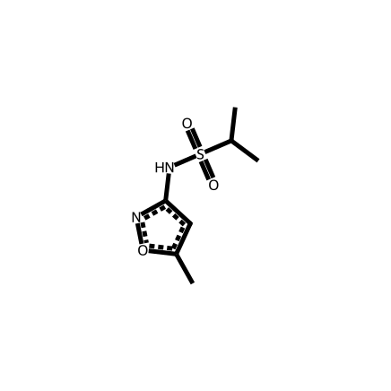 Cc1cc(NS(=O)(=O)C(C)C)no1